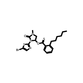 CCCCCCc1ccccc1C(=S)OC1CN(C)C(=O)N1c1ncc(Br)s1